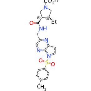 CC[C@@H]1CN(C(=O)O)C[C@@H]1C(=O)NCc1cnc2c(ccn2S(=O)(=O)c2ccc(C)cc2)n1